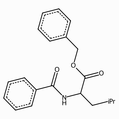 CC(C)CC(NC(=O)c1ccccc1)C(=O)OCc1ccccc1